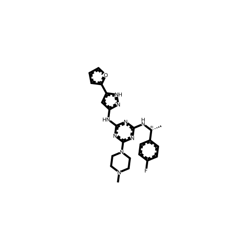 C[C@@H](Nc1nc(Nc2cc(-c3ccco3)[nH]n2)nc(N2CCN(C)CC2)n1)c1ccc(F)cc1